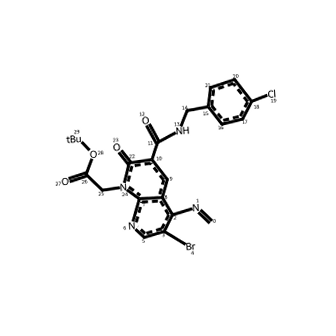 C=Nc1c(Br)cnc2c1cc(C(=O)NCc1ccc(Cl)cc1)c(=O)n2CC(=O)OC(C)(C)C